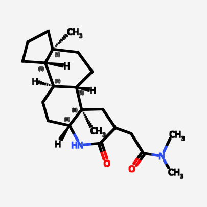 CN(C)C(=O)CC1C[C@@]2(C)[C@@H](CC[C@H]3[C@@H]4CCC[C@@]4(C)CC[C@@H]32)NC1=O